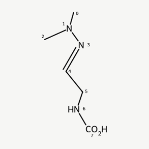 CN(C)N=CCNC(=O)O